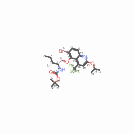 CC[C@@H](C)[C@H](COc1c(Br)ccc2nc(OC(C)C)cc(C(F)(F)F)c12)NC(=O)OC(C)(C)C